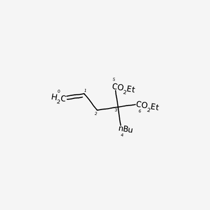 C=CCC(CCCC)(C(=O)OCC)C(=O)OCC